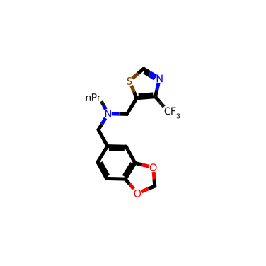 CCCN(Cc1ccc2c(c1)OCO2)Cc1scnc1C(F)(F)F